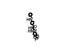 O=C(Nc1nc2cc3c(cc2[nH]1)OC(F)(F)O3)c1ccc(NCc2ccccc2)cc1